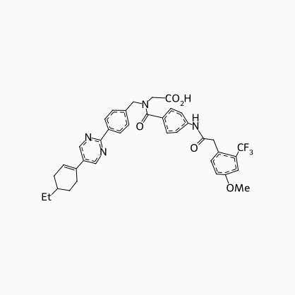 CCC1CC=C(c2cnc(-c3ccc(CN(CC(=O)O)C(=O)c4ccc(NC(=O)Cc5ccc(OC)cc5C(F)(F)F)cc4)cc3)nc2)CC1